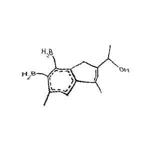 Bc1c(C)cc2c(c1B)CC(C(C)O)=C2C